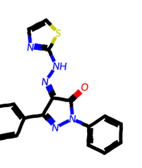 O=C1C(=NNc2nccs2)C(c2ccccc2)=NN1c1ccccc1